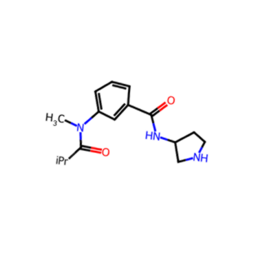 CC(C)C(=O)N(C)c1cccc(C(=O)NC2CCNC2)c1